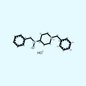 Cl.[O-][S+](Cc1ccccc1)C1CCN(Cc2ccccc2)CC1